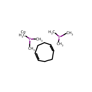 C1=C\CC/C=C\CC/1.CP(C)C.CP(C)C.[Co]